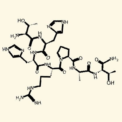 C[C@H](NC(=O)[C@@H]1CCCN1C(=O)[C@H](CCCNC(=N)N)NC(=O)[C@H](Cc1c[nH]cn1)NC(=O)[C@H](Cc1c[nH]cn1)NC(=O)[C@@H](N)[C@@H](C)O)C(=O)N[C@H](C(N)=O)[C@@H](C)O